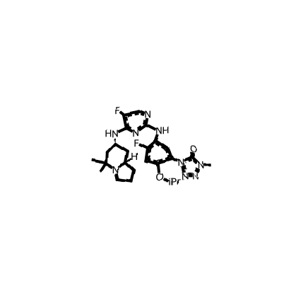 CC(C)Oc1cc(F)c(Nc2ncc(F)c(N[C@@H]3C[C@@H]4CCCN4C(C)(C)C3)n2)cc1-n1nnn(C)c1=O